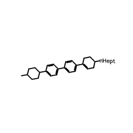 CCCCCCCC1CC=C(c2ccc(-c3ccc(C4CCC(C)CC4)cc3)cc2)CC1